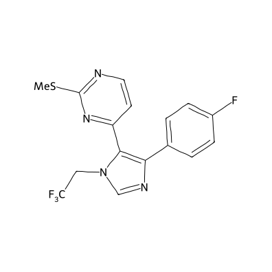 CSc1nccc(-c2c(-c3ccc(F)cc3)ncn2CC(F)(F)F)n1